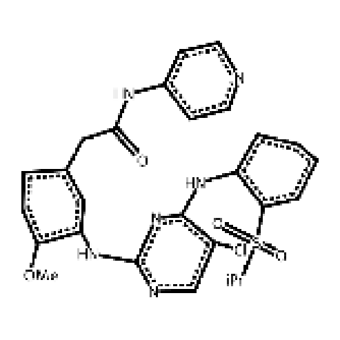 COc1ccc(CC(=O)Nc2ccncc2)cc1Nc1ncc(Cl)c(Nc2ccccc2S(=O)(=O)C(C)C)n1